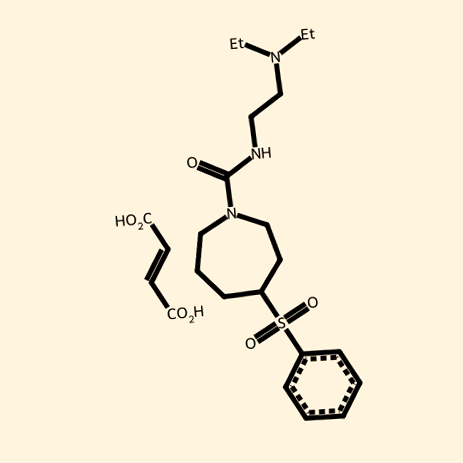 CCN(CC)CCNC(=O)N1CCCC(S(=O)(=O)c2ccccc2)CC1.O=C(O)C=CC(=O)O